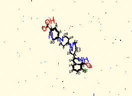 O=C(O)c1ccc(N2CCC(N3CCC(c4cc5cccc(F)c5c(=O)[nH]4)C3)CC2)cn1